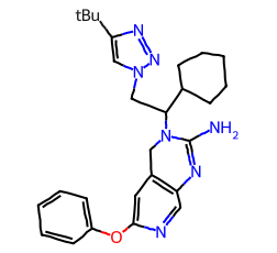 CC(C)(C)c1cn(CC(C2CCCCC2)N2Cc3cc(Oc4ccccc4)ncc3N=C2N)nn1